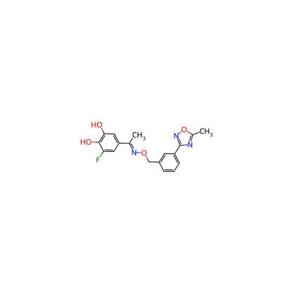 C/C(=N\OCc1cccc(-c2noc(C)n2)c1)c1cc(O)c(O)c(F)c1